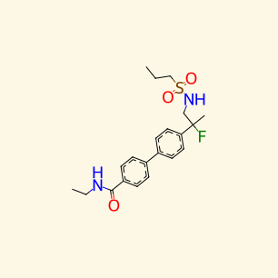 CCCS(=O)(=O)NCC(C)(F)c1ccc(-c2ccc(C(=O)NCC)cc2)cc1